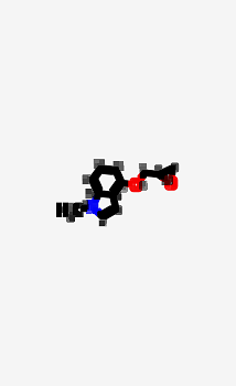 Cn1ccc2c(OCC3CO3)cccc21